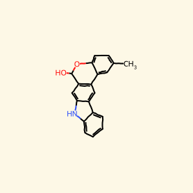 Cc1ccc2c(c1)-c1cc3c(cc1C(O)O2)[nH]c1ccccc13